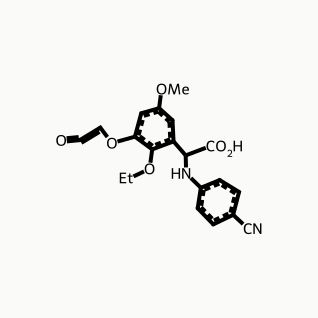 CCOc1c(OC=C=O)cc(OC)cc1C(Nc1ccc(C#N)cc1)C(=O)O